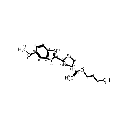 C=C(OCCCO)[C@H]1CSC(c2nc3ccc(OC)cc3s2)=N1